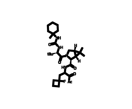 CC(=O)C(=O)C(CC1(F)CCC1)NC(=O)[C@@H]1[C@@H]2[C@H](CN1C(=O)[C@@H](NC(=O)NC1(C)CCCCC1)C(C)(C)C)C2(C)C